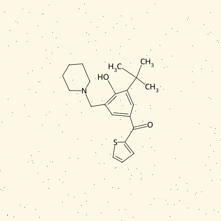 CC(C)(C)c1cc(C(=O)c2cccs2)cc(CN2CCCCC2)c1O